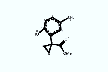 COC(=O)C1(c2cc(C)ccc2O)CC1